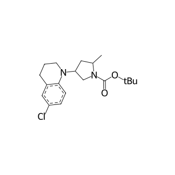 CC1CC(N2CCCc3cc(Cl)ccc32)CN1C(=O)OC(C)(C)C